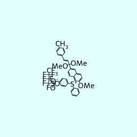 COc1ccc2cc(C(C=Cc3ccc(C)cc3)(OC)OC)ccc2c1[S+](c1ccccc1)c1ccccc1.O=S(=O)([O-])C(F)(F)C(F)(F)C(F)(F)C(F)(F)F